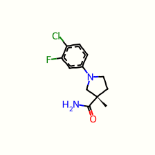 C[C@]1(C(N)=O)CCN(c2ccc(Cl)c(F)c2)C1